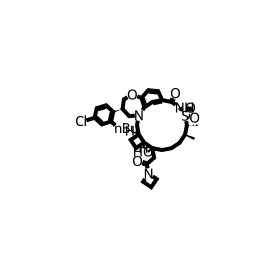 CCCCc1cc(Cl)ccc1[C@@H]1COc2ccc3cc2N(C1)C[C@@H]1CC[C@H]1[C@@](O)(CC(=O)N1CCC1)CCC[C@H](C)[C@@H](C)S(=O)(=O)NC3=O